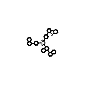 C1=CC2Sc3c(-c4ccc(-c5nc(-c6ccc(-c7cccc8ccccc78)cc6)nc(-c6ccc(-c7cccc8ccccc78)c7ccccc67)n5)cc4)cccc3C2C=C1